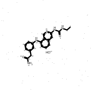 CCNC(=O)Nc1cc2cccc(Nc3cccc(CC(N)=O)c3)c2cn1.Cl